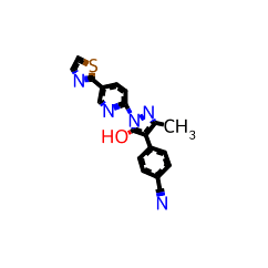 Cc1nn(-c2ccc(-c3nccs3)cn2)c(O)c1-c1ccc(C#N)cc1